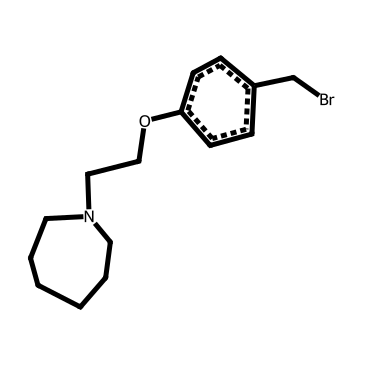 BrCc1ccc(OCCN2CCCCCC2)cc1